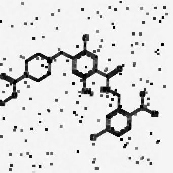 CC[S+]([O-])c1ccc(Cl)cc1CNC(=O)c1cc(Cl)c(CN2CCN(C(=O)OC(C)(C)C)CC2)cc1N